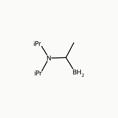 BC(C)N(C(C)C)C(C)C